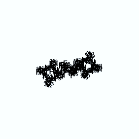 FC[Si]([O][AlH][c]1cccc2c3nc4nc(nc5[nH]c(nc6nc(nc([nH]3)c12)-c1ccccc1-6)c1ccccc51)-c1ccccc1-4)(c1ccc([Si](CF)([O][AlH][c]2cccc3c4nc5nc(nc6[nH]c(nc7nc(nc([nH]4)c23)-c2ccccc2-7)c2ccccc62)-c2ccccc2-5)C(F)(F)F)cc1)C(F)(F)F